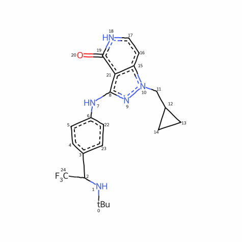 CC(C)(C)NC(c1ccc(Nc2nn(CC3CC3)c3cc[nH]c(=O)c23)cc1)C(F)(F)F